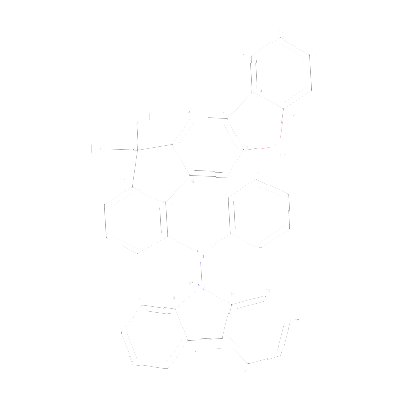 CC1(C)c2cc3c(cc2-c2c(N(c4ccccc4)n4c5ccccc5c5ccccc54)cccc21)oc1ccccc13